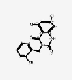 Cc1ccccc1Cn1c(=O)[nH]c2cc(Cl)cc(Cl)c2c1=O